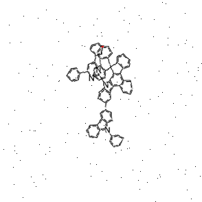 c1ccc(-c2cc(-c3ccccc3)nc(-n3c4ccc(-c5ccc6c(c5)c5ccccc5n6-c5ccccc5)cc4c4c5ccccc5c5c(c43)C3(c4ccccc4-c4ccccc43)c3ccccc3-5)n2)cc1